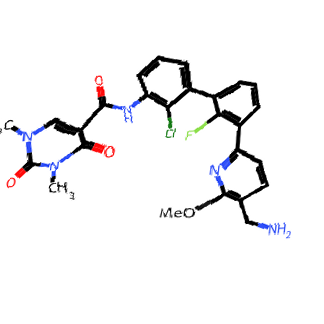 COc1nc(-c2cccc(-c3cccc(NC(=O)c4cn(C)c(=O)n(C)c4=O)c3Cl)c2F)ccc1CN